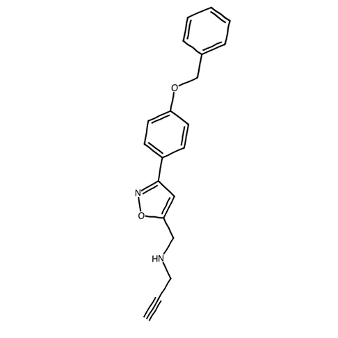 C#CCNCc1cc(-c2ccc(OCc3ccccc3)cc2)no1